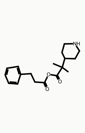 CC(C)(C(=O)OC(=O)CCc1ccccc1)C1CCNCC1